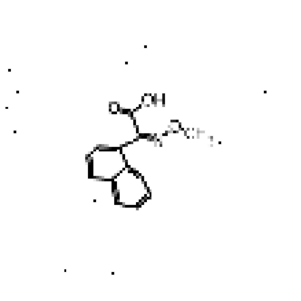 CON=C(C(=O)O)c1cccc2ccccc12